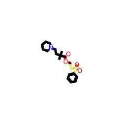 CC(C)(CCN1CCCCC1)C(=O)OCSS(=O)(=O)c1ccccc1